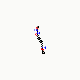 CC(C)(C)OC(=O)NCCNC(=O)CCc1ccc(-c2ccc(CCCCNC(=O)OCc3ccccc3)cc2)cc1